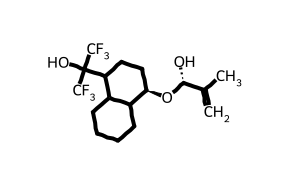 C=C(C)[C@@H](O)O[C@@H]1CCC(C(O)(C(F)(F)F)C(F)(F)F)C2CCCCC21